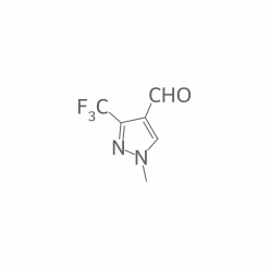 Cn1cc(C=O)c(C(F)(F)F)n1